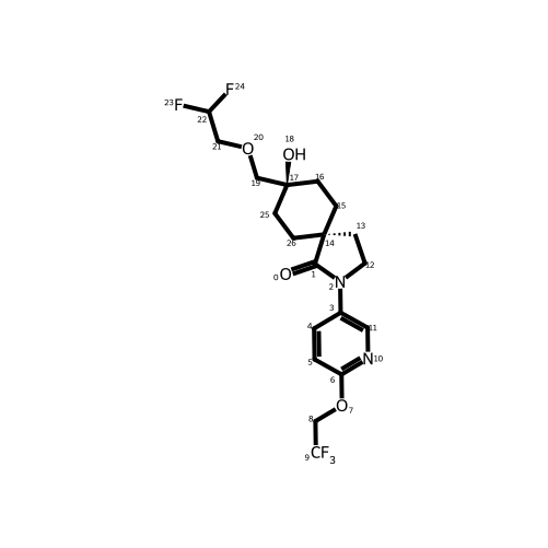 O=C1N(c2ccc(OCC(F)(F)F)nc2)CC[C@]12CC[C@@](O)(COCC(F)F)CC2